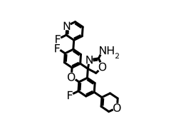 NC1=NC2(CO1)c1cc(-c3cccnc3F)c(F)cc1Oc1c(F)cc(C3=CCOCC3)cc12